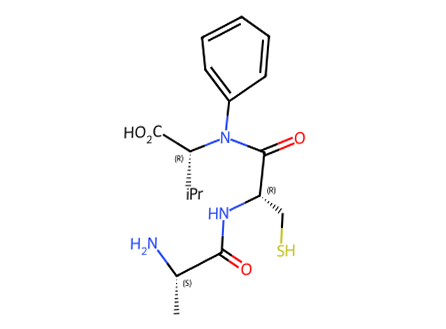 CC(C)[C@H](C(=O)O)N(C(=O)[C@H](CS)NC(=O)[C@H](C)N)c1ccccc1